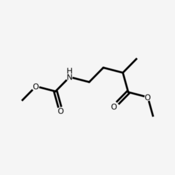 COC(=O)NCCC(C)C(=O)OC